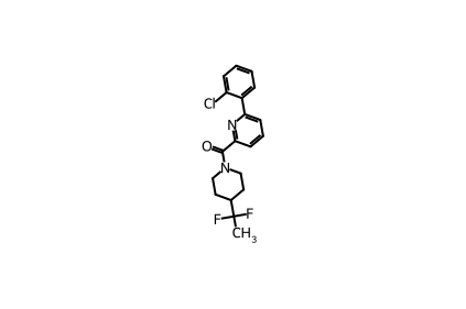 CC(F)(F)C1CCN(C(=O)c2cccc(-c3ccccc3Cl)n2)CC1